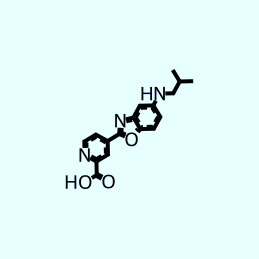 CC(C)CNc1ccc2oc(-c3ccnc(C(=O)O)c3)nc2c1